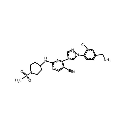 CS(=O)(=O)N1CCC(Nc2ncc(C#N)c(-c3cnn(-c4ccc(CN)cc4Cl)c3)n2)CC1